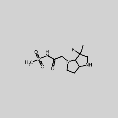 CS(=O)(=O)NC(=O)CN1CCC2NCC(F)(F)C21